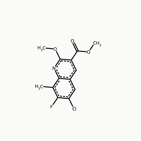 COC(=O)c1cc2cc(Cl)c(F)c(C)c2nc1OC